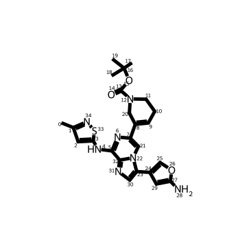 Cc1cc(Nc2nc(C3=CCCN(C(=O)OC(C)(C)C)C3)cn3c(-c4coc(N)c4)cnc23)sn1